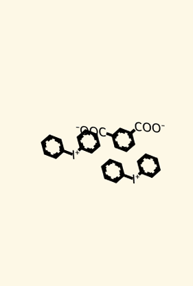 O=C([O-])c1cccc(C(=O)[O-])c1.c1ccc([I+]c2ccccc2)cc1.c1ccc([I+]c2ccccc2)cc1